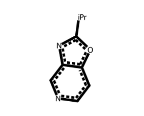 CC(C)c1nc2cnccc2o1